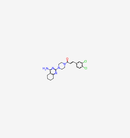 Nc1nc(N2CCN(C(=O)C=Cc3ccc(Cl)c(Cl)c3)CC2)nc2c1CCCC2